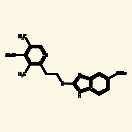 COc1ccc2[nH]c(SCCc3ncc(C)c(OC)c3C)nc2c1